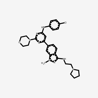 Cn1nc(NCCN2CCCC2)c2ccc(-c3cc(Nc4ccc(Cl)cc4)nc(N4CCOCC4)n3)cc21